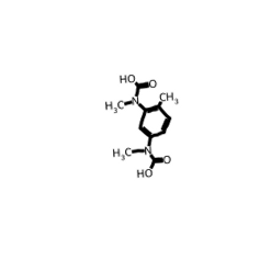 Cc1ccc(N(C)C(=O)O)cc1N(C)C(=O)O